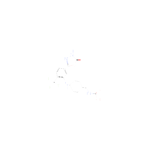 O=C(O)NCC1CCC(Nc2cc(-c3n[nH]c(=O)o3)ccc2C(F)(F)F)CC1